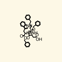 O=C(O)CC(NP(=O)(CCCCc1ccccc1)OCc1ccccc1)C(=O)NC(Cc1c[nH]c2ccccc12)C(=O)OCc1ccccc1